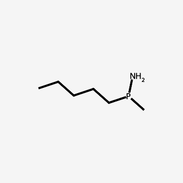 CCCCCP(C)N